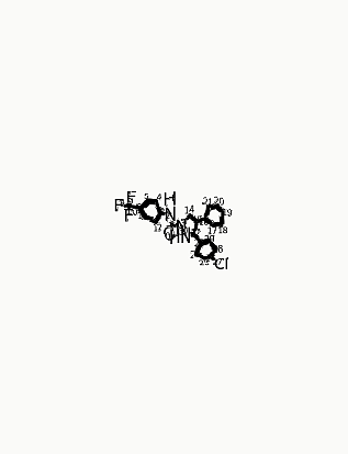 O=C(Nc1ccc(C(F)(F)F)cc1)N1CC(c2ccccc2)C(c2ccc(Cl)cc2)N1